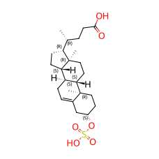 C[C@H](CCC(=O)O)[C@H]1CC[C@H]2[C@@H]3CC=C4C[C@@H](OS(=O)(=O)O)CC[C@]4(C)[C@H]3CC[C@]12C